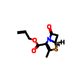 C=CCOC(=O)C1=C(C)S[C@@H]2CC(=O)N12